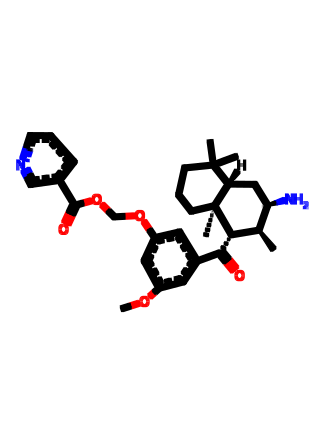 COc1cc(OCOC(=O)c2cccnc2)cc(C(=O)[C@H]2[C@H](C)[C@H](N)C[C@H]3C(C)(C)CCC[C@]23C)c1